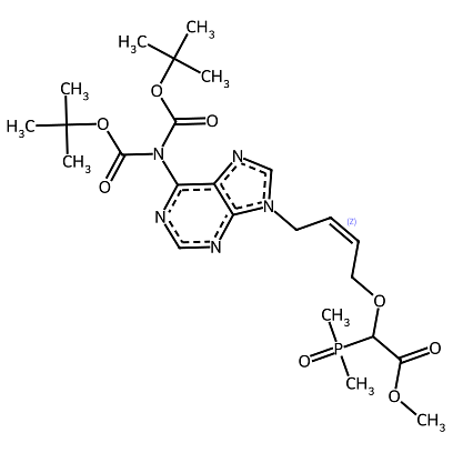 COC(=O)C(OC/C=C\Cn1cnc2c(N(C(=O)OC(C)(C)C)C(=O)OC(C)(C)C)ncnc21)P(C)(C)=O